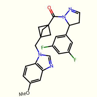 COc1ccc2c(c1)ncn2CC12CC(C(=O)N3N=CCC3c3cc(F)cc(F)c3)(C1)C2